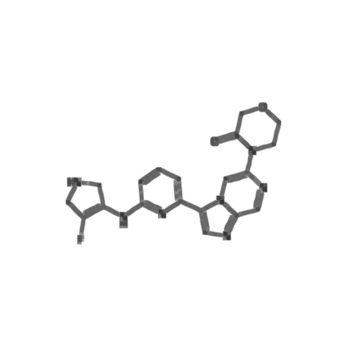 O=C1COCCN1c1cn2c(-c3cccc(NC4=C(F)CNC4)n3)cnc2cn1